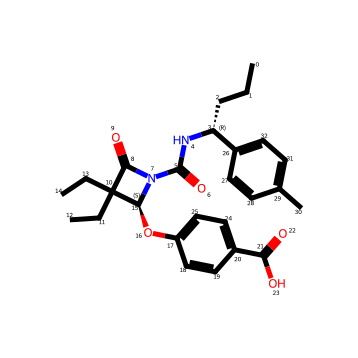 CCC[C@@H](NC(=O)N1C(=O)C(CC)(CC)[C@@H]1Oc1ccc(C(=O)O)cc1)c1ccc(C)cc1